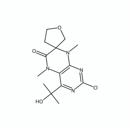 CN1C(=O)C2(CCOC2)N(C)c2nc(Cl)nc(C(C)(C)O)c21